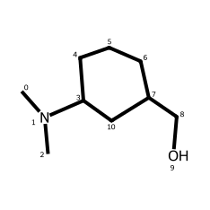 CN(C)C1CCCC(CO)C1